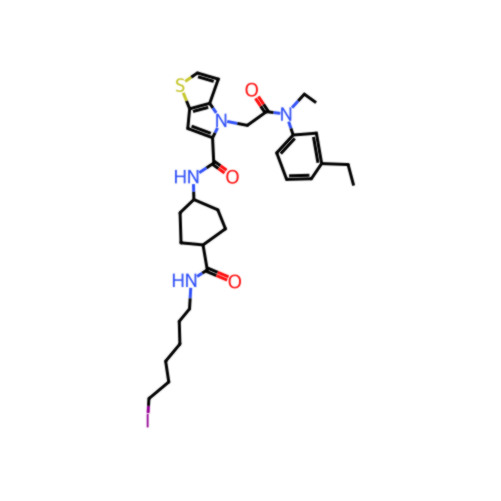 CCc1cccc(N(CC)C(=O)Cn2c(C(=O)NC3CCC(C(=O)NCCCCCCI)CC3)cc3sccc32)c1